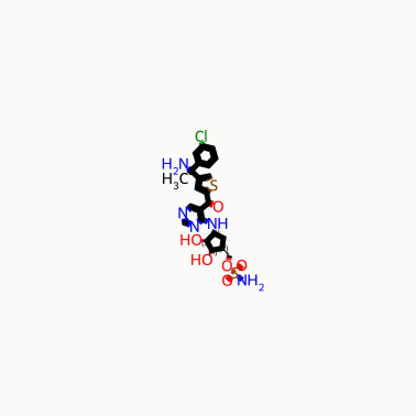 CC(N)(c1cccc(Cl)c1)c1csc(C(=O)c2cncnc2N[C@@H]2C[C@H](COS(N)(=O)=O)[C@@H](O)[C@H]2O)c1